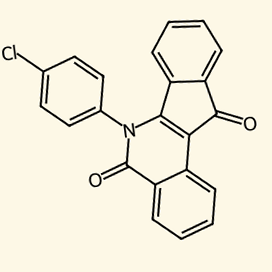 O=C1c2ccccc2-c2c1c1ccccc1c(=O)n2-c1ccc(Cl)cc1